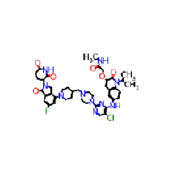 CNC(=O)COc1cc2cc(Nc3nc(N4CCN(CC5CCN(c6cc(F)cc7c6CN(C6CCC(=O)NC6=O)C7=O)CC5)CC4)ncc3Cl)ccc2n(C(C)C)c1=O